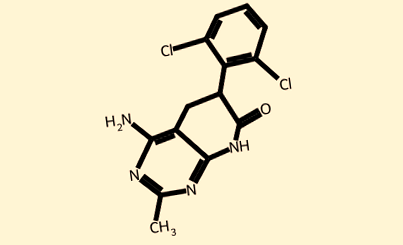 Cc1nc(N)c2c(n1)NC(=O)C(c1c(Cl)cccc1Cl)C2